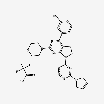 O=C(O)C(F)(F)F.Oc1cccc(-c2nc(N3CCOCC3)nc3c2CCN3c2ccnc(N3CC=CC3)c2)c1